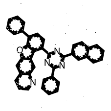 c1ccc(-c2nc(-c3ccc4ccccc4c3)nc(-c3ccc(-c4ccccc4)c4oc5cc6cccnc6cc5c34)n2)cc1